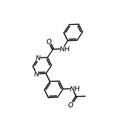 CC(=O)Nc1cccc(-c2cc(C(=O)Nc3ccccc3)ncn2)c1